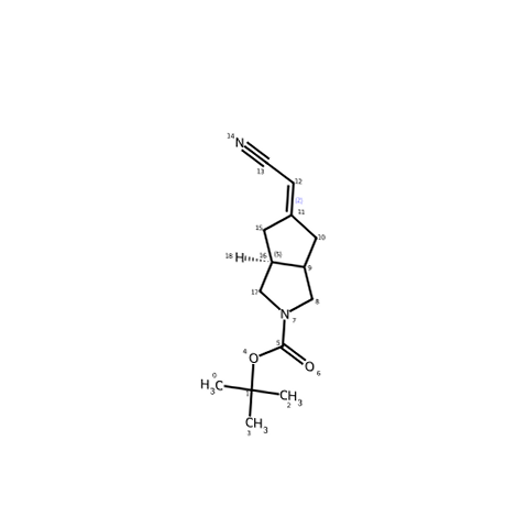 CC(C)(C)OC(=O)N1CC2C/C(=C/C#N)C[C@@H]2C1